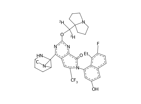 [2H]C([2H])(Oc1nc(N2CC3CCC2CN3)c2cc(C(F)(F)F)n(-c3cc(O)cc4ccc(F)c(CC)c34)c(=O)c2n1)C12CCCN1CCC2